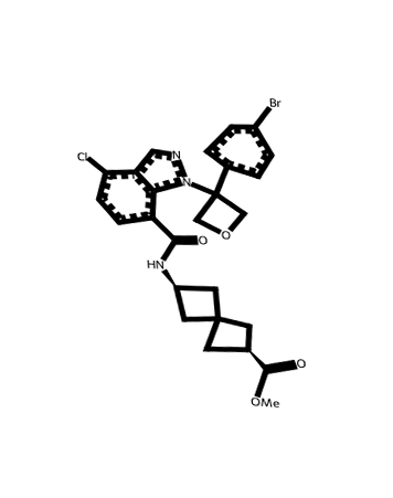 COC(=O)[C@H]1CC2(C[C@H](NC(=O)c3ccc(Cl)c4cnn(C5(c6ccc(Br)cc6)COC5)c34)C2)C1